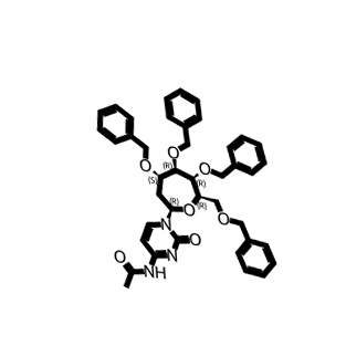 CC(=O)Nc1ccn([C@H]2C[C@H](OCc3ccccc3)[C@@H](OCc3ccccc3)[C@H](OCc3ccccc3)[C@@H](COCc3ccccc3)O2)c(=O)n1